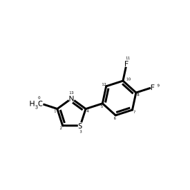 Cc1csc(-c2ccc(F)c(F)c2)n1